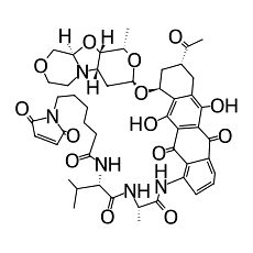 CC(=O)[C@@H]1Cc2c(O)c3c(c(O)c2[C@@H](O[C@H]2C[C@H]4[C@H](O[C@@H]5COCCN54)[C@H](C)O2)C1)C(=O)c1c(NC(=O)[C@H](C)NC(=O)[C@@H](NC(=O)CCCCCN2C(=O)C=CC2=O)C(C)C)cccc1C3=O